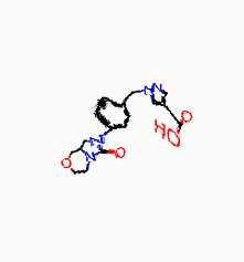 O=C(O)c1cnn(Cc2ccc(N3CC4COCCN4C3=O)cc2)c1